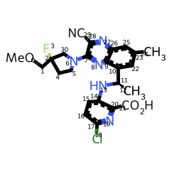 COC[C@@]1(F)CCN(c2nc3c([C@@H](C)Nc4ccc(Cl)nc4C(=O)O)cc(C)cc3nc2C#N)C1